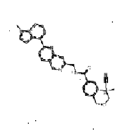 Cn1ccc2c(-c3ccc4cnc(CNC(=O)c5ccc6c(c5)[C@](C)(C#N)COC6)cc4n3)cccc21